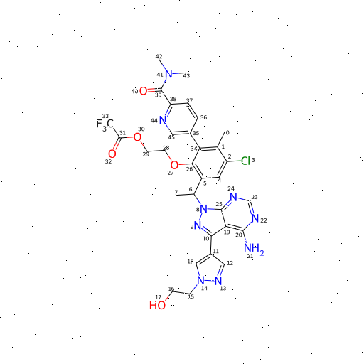 Cc1c(Cl)cc(C(C)n2nc(-c3cnn(CCO)c3)c3c(N)ncnc32)c(OCCOC(=O)C(F)(F)F)c1-c1ccc(C(=O)N(C)C)nc1